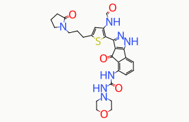 O=CNc1cc(CCCN2CCCC2=O)sc1-c1n[nH]c2c1C(=O)c1c(NC(=O)NN3CCOCC3)cccc1-2